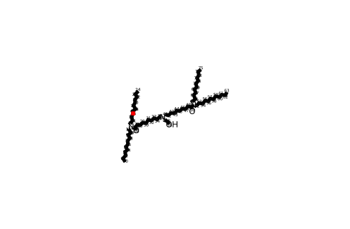 CCCCCCCCCCCCN(CCCCCCCCCCCC)C(=O)CCCCCCCCCN(CCO)CCCCCCCCCC(=O)N(CCCCCCCCCCCC)CCCCCCCCCCCC